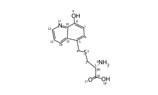 N[C@@H](CSCc1ccc(O)c2ncccc12)C(=O)O